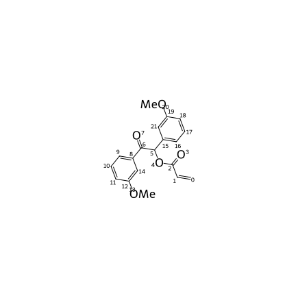 C=CC(=O)OC(C(=O)c1cccc(OC)c1)c1cccc(OC)c1